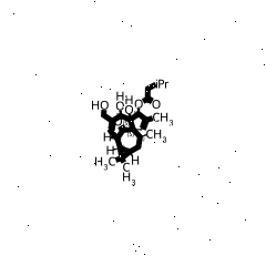 CC1=C[C@]23C(=O)[C@@H](C=C(CO)[C@@H](O)[C@]2(O)[C@H]1OC(=O)CC(C)C)[C@H]1[C@@H](C[C@H]3C)C1(C)C